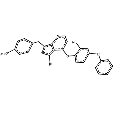 COc1ccc(Cn2nc(Br)c3c(Oc4ccc(Oc5ccccc5)cc4C#N)ccnc32)cc1